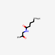 CCCCCCCCCCC(=O)NCC(=O)C(C)C